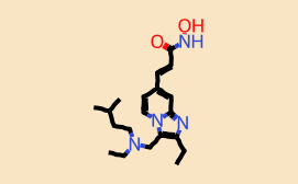 CCc1nc2cc(C=CC(=O)NO)ccn2c1CN(CC)CCC(C)C